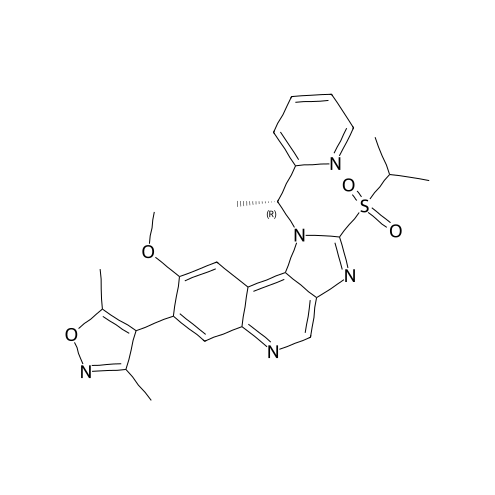 COc1cc2c(cc1-c1c(C)noc1C)ncc1nc(S(=O)(=O)C(C)C)n([C@H](C)c3ccccn3)c12